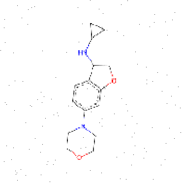 c1cc2c(cc1N1CCOCC1)OCC2NC1CC1